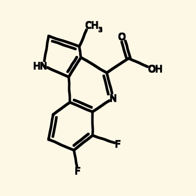 Cc1c[nH]c2c1c(C(=O)O)nc1c(F)c(F)ccc12